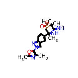 Cc1nc(C)c(-n2cc3cc(C4(C)CS(=O)(=O)C(C)(C)C(=N)N4)ccc3n2)o1